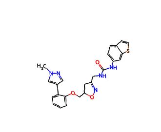 Cn1cc(-c2ccccc2OCC2CC(CNC(=O)Nc3ccc4ccsc4c3)=NO2)cn1